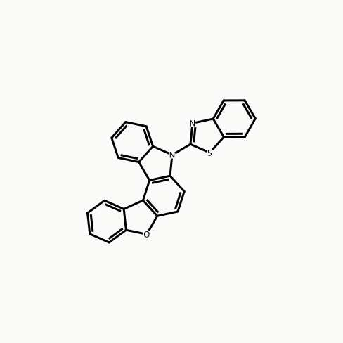 c1ccc2sc(-n3c4ccccc4c4c5c(ccc43)oc3ccccc35)nc2c1